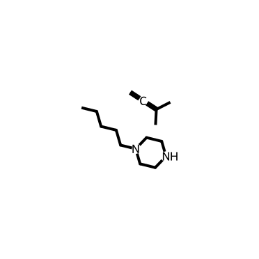 C=C=C(C)C.CCCCCN1CCNCC1